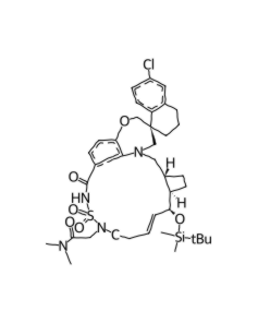 CN(C)C(=O)CN1CC/C=C/[C@H](O[Si](C)(C)C(C)(C)C)[C@@H]2CC[C@H]2CN2C[C@@]3(CCCc4cc(Cl)ccc43)COc3ccc(cc32)C(=O)NS1(=O)=O